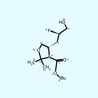 CC(C)(C)OC(=O)N1[C@@H](C[C@@H](F)CO)COC1(C)C